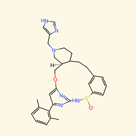 Cc1cccc(C)c1-c1cc2nc(n1)N[S+]([O-])c1cccc(c1)CCC1CCN(Cc3c[nH]cn3)C[C@@H]1CO2